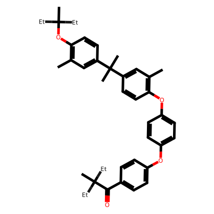 CCC(C)(CC)Oc1ccc(C(C)(C)c2ccc(Oc3ccc(Oc4ccc(C(=O)C(C)(CC)CC)cc4)cc3)c(C)c2)cc1C